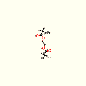 CCCC(C)(C)C(=O)OCCOC(=O)C(C)(C)CC